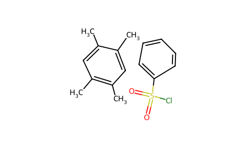 Cc1cc(C)c(C)cc1C.O=S(=O)(Cl)c1ccccc1